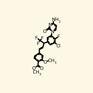 COC(=O)c1ccc(/C=C/C(c2cc(Cl)c(F)c(-n3ccc(N)nc3=O)c2)C(F)(F)F)cc1OC